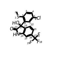 CSc1ccc(Cl)cc1C1(O)C(=O)Nc2cc(C(F)(F)F)ccc21